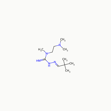 CN(C)CCN(C)C(=N)N/N=C/C(C)(C)C